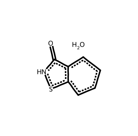 O.O=c1[nH]sc2ccccc12